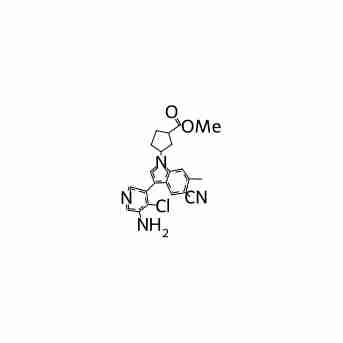 COC(=O)C1CCC(n2cc(-c3cncc(N)c3Cl)c3cc(C#N)c(C)cc32)C1